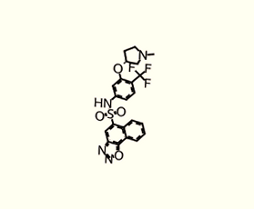 CN1CC[C@@H](Oc2cc(NS(=O)(=O)c3cc4nnoc4c4ccccc34)ccc2C(F)(F)F)C1